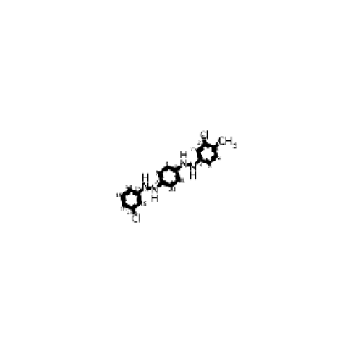 Cc1ccc(NNc2ccc(NNc3cccc(Cl)c3)cc2)cc1Cl